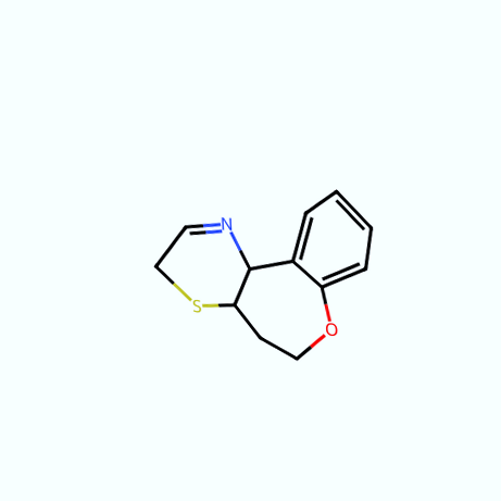 C1=NC2c3ccccc3OCCC2SC1